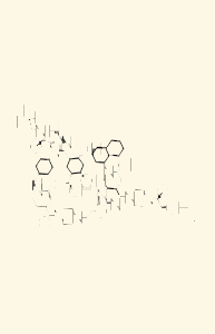 C=CC(=O)N1CCN(c2nc(OCCN3CCN(C(=O)C4CCN(Cc5ccc(-n6c(C(=O)NCC(F)(F)F)nnc6-c6cc(C(C)C)c(O)cc6O)cc5)CC4)CC3)nc3c2CCN(c2cccc4cccc(Cl)c24)C3)CC1